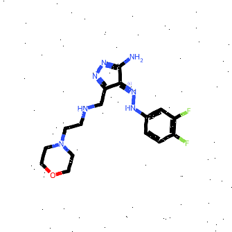 NC1=NN=C(CNCCN2CCOCC2)/C1=N\Nc1ccc(F)c(F)c1